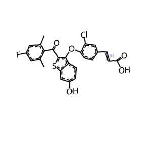 Cc1cc(F)cc(C)c1C(=O)c1sc2cc(O)ccc2c1Oc1ccc(/C=C/C(=O)O)cc1Cl